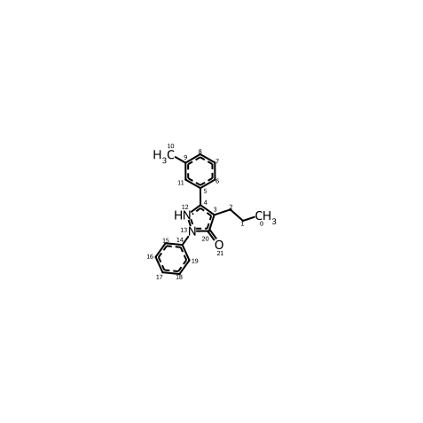 CCCc1c(-c2cccc(C)c2)[nH]n(-c2ccccc2)c1=O